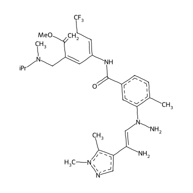 C=C(OC)/C(=C\C(=C/CC(F)(F)F)NC(=O)c1ccc(C)c(N(N)/C=C(\N)c2cnn(C)c2C)c1)CN(C)C(C)C